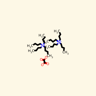 CCCC[N+](CCCC)(CCCC)CCCC.CCCC[N+](CCCC)(CCCC)CCCC.O=C([O-])C(=O)[O-]